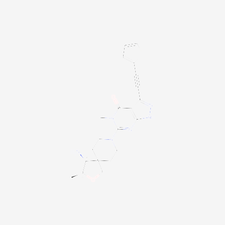 C[C@@H]1OCC2(CCN(c3nc4[nH]nc(C#Cc5cccs5)c4c(=O)n3C)CC2)[C@@H]1N